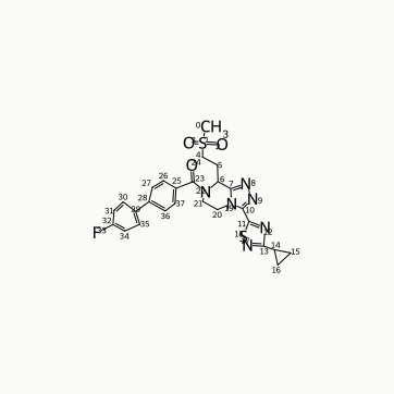 CS(=O)(=O)CCC1c2nnc(-c3nc(C4CC4)ns3)n2CCN1C(=O)c1ccc(-c2ccc(F)cc2)cc1